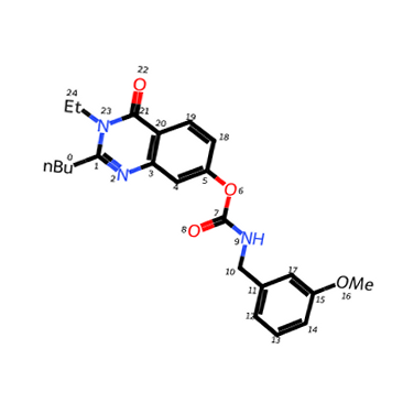 CCCCc1nc2cc(OC(=O)NCc3cccc(OC)c3)ccc2c(=O)n1CC